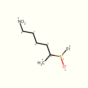 CC[S+]([O-])C(C)CCCC[N+](=O)[O-]